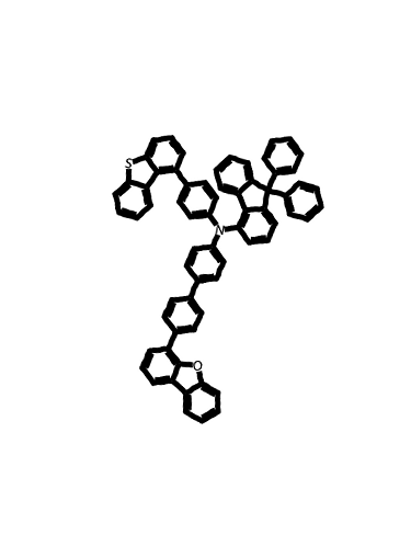 c1ccc(C2(c3ccccc3)c3ccccc3-c3c(N(c4ccc(-c5ccc(-c6cccc7c6oc6ccccc67)cc5)cc4)c4ccc(-c5cccc6sc7ccccc7c56)cc4)cccc32)cc1